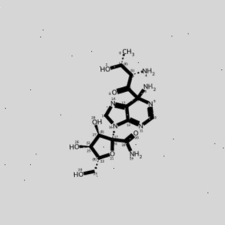 C[C@@H](O)[C@H](N)C(=O)C1(N)N=CN=C2C1=NCN2[C@]1(C(N)=O)O[C@H](CO)[C@@H](O)[C@H]1O